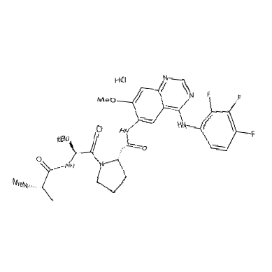 CN[C@@H](C)C(=O)N[C@H](C(=O)N1CCC[C@H]1C(=O)Nc1cc2c(Nc3ccc(F)c(F)c3F)ncnc2cc1OC)C(C)(C)C.Cl